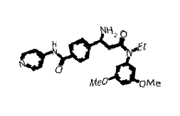 CCN(C(=O)CC(N)c1ccc(C(=O)Nc2ccncc2)cc1)c1cc(OC)cc(OC)c1